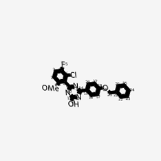 COc1ccc(F)c(Cl)c1-c1nc(O)nc(-c2ccc(OCc3ccccc3)cc2)n1